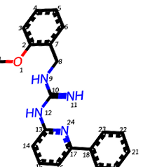 COc1ccccc1CNC(=N)Nc1cccc(-c2ccccc2)n1